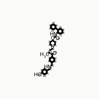 CN(CCN1CCC(OC(=O)Nc2ccccc2-c2ccccc2)CC1)C(=O)c1ccc(CNCc2ccc(O)cc2)cc1